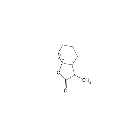 CC1C(=O)OC23CCCC2CCCC13